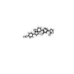 O=C1OCCN1c1cnc(N2CCCC3(CCN([C@H]4CC[C@@H](O)CC4)C3=O)C2)c(Cl)c1